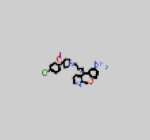 Nc1ccc2c(c1)/C(=C/CCN1CCC(OI)(c3ccc(Cl)cc3)CC1)c1cccnc1CO2